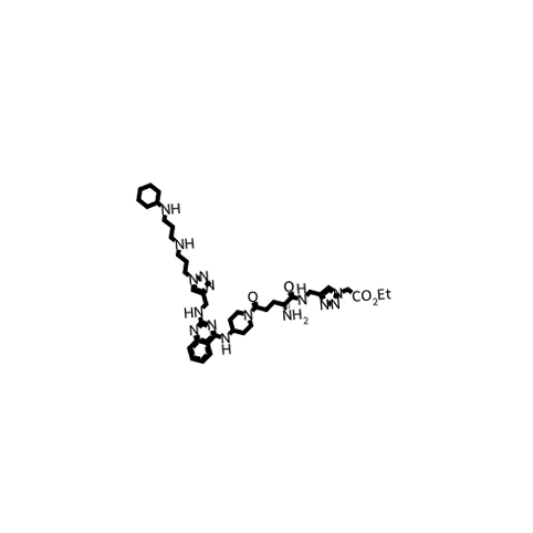 CCOC(=O)Cn1cc(CNC(=O)[C@@H](N)CCC(=O)N2CCC(Nc3nc(NCc4cn(CCCNCCCNC5CCCCC5)nn4)nc4ccccc34)CC2)nn1